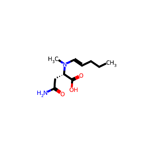 CCCC=CN(C)[C@@H](CC(N)=O)C(=O)O